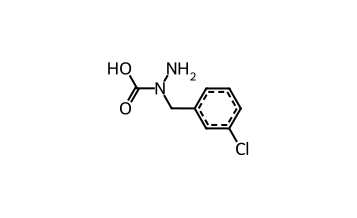 NN(Cc1cccc(Cl)c1)C(=O)O